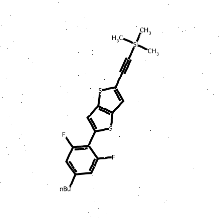 CCCCc1cc(F)c(-c2cc3sc(C#C[Si](C)(C)C)cc3s2)c(F)c1